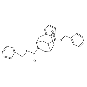 O=C(OCc1ccccc1)N1CC2Cc3ccccc3CC1CN2C(=O)OCc1ccccc1